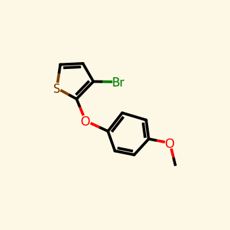 COc1ccc(Oc2sccc2Br)cc1